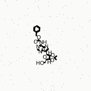 CC1(C)O[C@@H]2[C@H](O1)[C@@H](CO)O[C@H]2c1cnc2c(NC(=O)OCc3ccccc3)ncnn12